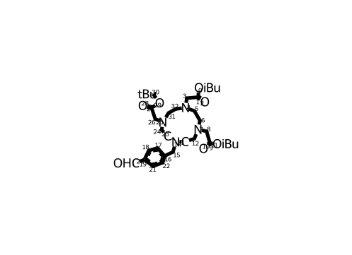 CC(C)COC(=O)CN1CCN(CC(=O)OCC(C)C)CCN(Cc2ccc(C=O)cc2)CCN(CC(=O)OC(C)(C)C)CC1